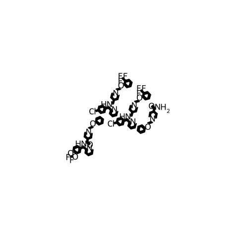 FC(F)(F)c1ccccc1OCCN1CCC(CN[C@@H](c2ccc(Cl)cc2)c2ccccn2)CC1.FC(F)(F)c1ccccc1OCCN1CCC(CN[C@H](c2ccc(Cl)cc2)c2ccccn2)CC1.NC(=O)C1CCN(CCOc2ccccc2)CC1.O=C(N[C@@H](c1ccc2c(c1)OC(F)(F)O2)c1ccccn1)C1CCN(CCOc2ccccc2)CC1